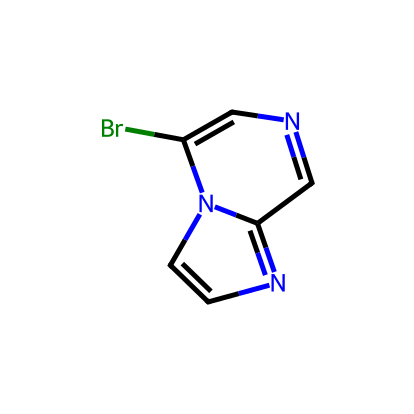 Brc1cncc2nccn12